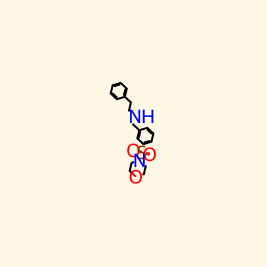 O=S(=O)(c1cccc(CNCCc2ccccc2)c1)N1CCOCC1